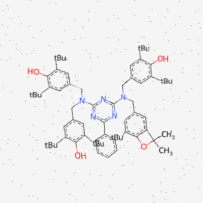 CC(C)(C)c1cc(CN(Cc2cc(C(C)(C)C)c(O)c(C(C)(C)C)c2)c2nc(-c3ccccc3)nc(N(Cc3cc(C(C)(C)C)c(O)c(C(C)(C)C)c3)Cc3cc(C(C)(C)C)c4c(c3)C(C)(C)O4)n2)cc(C(C)(C)C)c1O